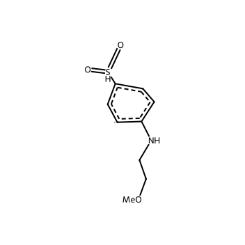 COCCNc1[c]cc([SH](=O)=O)cc1